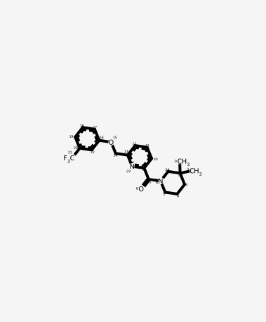 CC1(C)CCCN(C(=O)c2cccc(COc3cccc(C(F)(F)F)c3)n2)C1